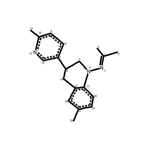 CC(C)=NN1CC(c2ccc(C)nc2)Cc2cc(C)ccc21